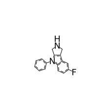 Fc1ccc2c(c1)c1c(n2-c2ccccc2)CNC1